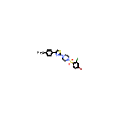 COc1ccc(-c2csc(N3CCN(S(=O)(=O)c4ccc(Br)cc4Cl)CC3)n2)cc1